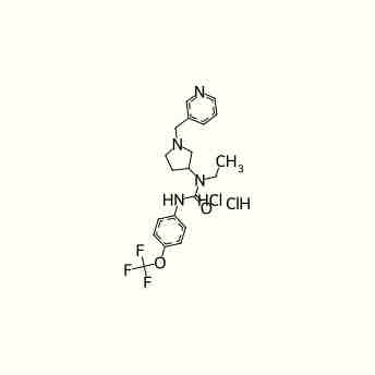 CCN(C(=O)Nc1ccc(OC(F)(F)F)cc1)C1CCN(Cc2cccnc2)C1.Cl.Cl